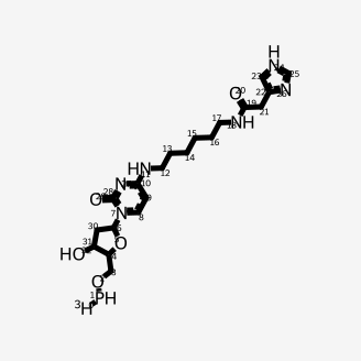 [3H]POCC1OC(n2ccc(NCCCCCCNC(=O)Cc3c[nH]cn3)nc2=O)CC1O